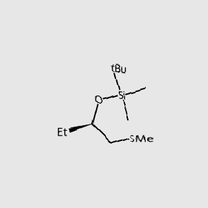 CC[C@H](CSC)O[Si](C)(C)C(C)(C)C